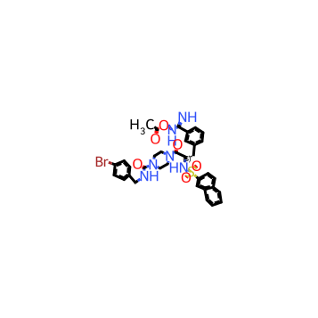 CC(=O)ONC(=N)c1cccc(C[C@H](NS(=O)(=O)c2ccc3ccccc3c2)C(=O)N2CCN(C(=O)NCc3ccc(Br)cc3)CC2)c1